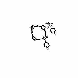 CN1C=CC(c2cc3cc4nc(cc5ccc(cc6nc(cc2[nH]3)C=C6)[nH]5)C=C4)=CC1.Cc1ccc(S(=O)(=O)O)cc1